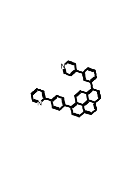 c1ccc(-c2ccc(-c3ccc4ccc5ccc(-c6cccc(-c7ccncc7)c6)c6ccc3c4c56)cc2)nc1